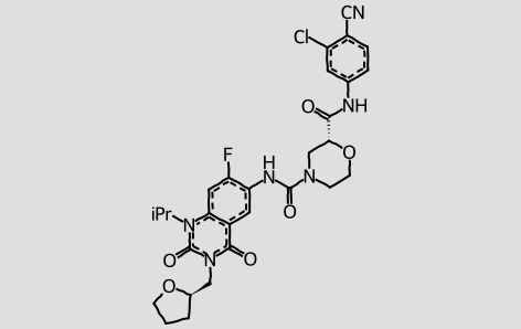 CC(C)n1c(=O)n(C[C@H]2CCCO2)c(=O)c2cc(NC(=O)N3CCO[C@@H](C(=O)Nc4ccc(C#N)c(Cl)c4)C3)c(F)cc21